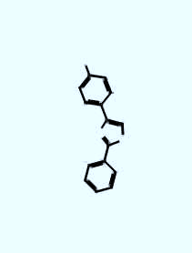 O=C(O)c1ccc(-c2csc(-c3ccccc3)n2)cc1